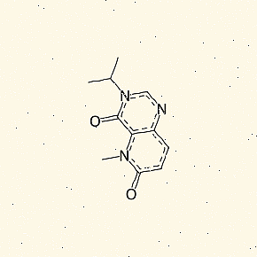 CC(C)n1cnc2ccc(=O)n(C)c2c1=O